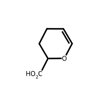 O=C(O)C1CCC=CO1